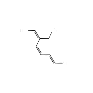 C\C=C(/C=C\C=C\N)CC#N